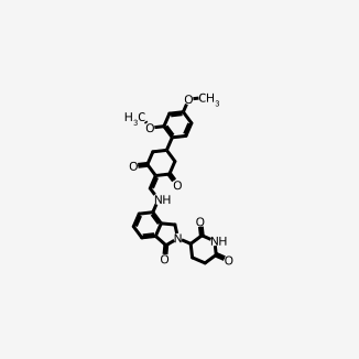 COc1ccc(C2CC(=O)C(=CNc3cccc4c3CN(C3CCC(=O)NC3=O)C4=O)C(=O)C2)c(OC)c1